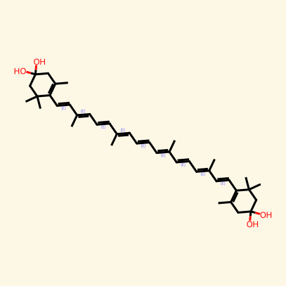 CC1=C(/C=C/C(C)=C/C=C/C(C)=C/C=C/C=C(C)/C=C/C=C(C)/C=C/C2=C(C)CC(O)(O)CC2(C)C)C(C)(C)CC(O)(O)C1